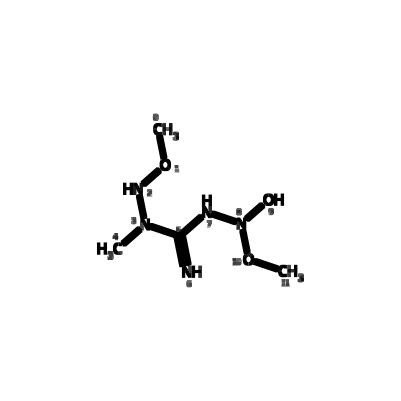 CONN(C)C(=N)NN(O)OC